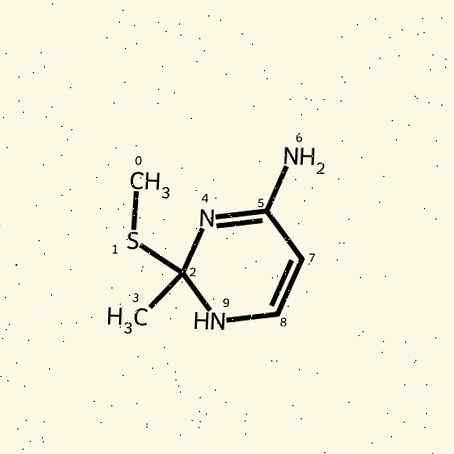 CSC1(C)N=C(N)C=CN1